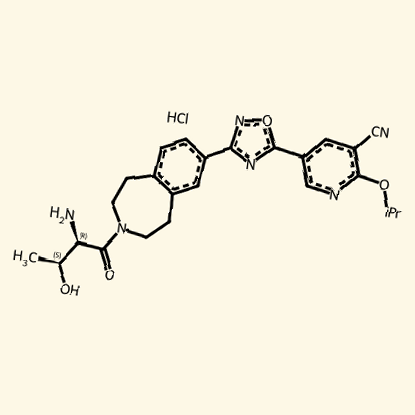 CC(C)Oc1ncc(-c2nc(-c3ccc4c(c3)CCN(C(=O)[C@H](N)[C@H](C)O)CC4)no2)cc1C#N.Cl